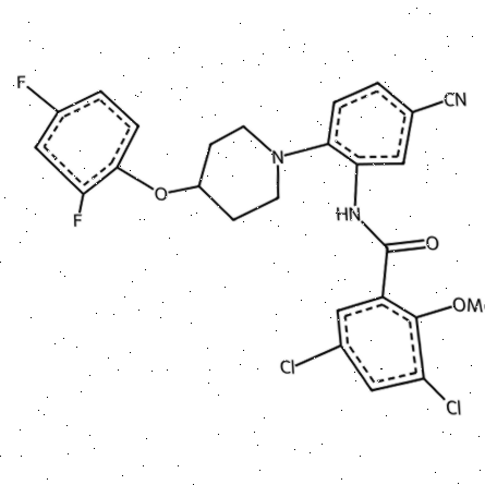 COc1c(Cl)cc(Cl)cc1C(=O)Nc1cc(C#N)ccc1N1CCC(Oc2ccc(F)cc2F)CC1